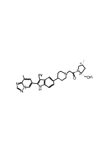 Cc1cc(-c2[nH]c3ccc(C4CCN(CC(=O)N5C[C@H](C)C[C@@H]5CO)CC4)cc3c2C(C)C)cn2ncnc12